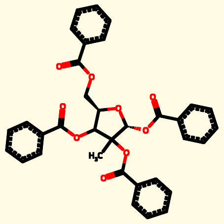 CC1(OC(=O)c2ccccc2)C(OC(=O)c2ccccc2)[C@@H](COC(=O)c2ccccc2)O[C@@H]1OC(=O)c1ccccc1